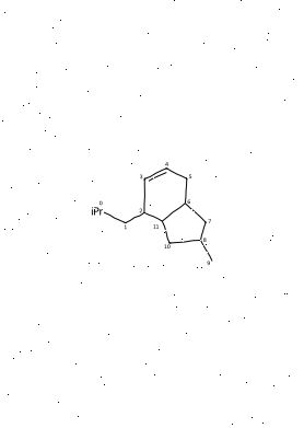 CC(C)CC1C=CCC2CC(C)CC12